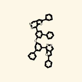 c1ccc(-c2cc(Oc3cc(-c4ccccc4)cc(-c4nncc5cc(-c6ccccc6)oc45)c3)cc(-c3nncc4cc(-c5ccccc5)oc34)c2)cc1